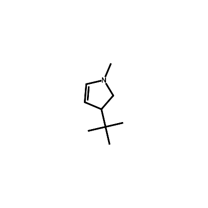 CN1C=CC(C(C)(C)C)C1